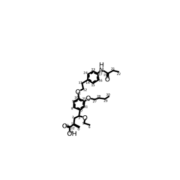 C=C(CC(OCC)c1ccc(OCCc2ccc(NC(=O)CC)cc2)c(OCCCC)c1)C(=O)O